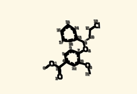 COC(=O)c1ccc(O[C@@H](CCCl)c2ccccc2)c(OC)c1